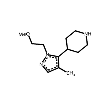 COCCn1ncc(C)c1C1CCNCC1